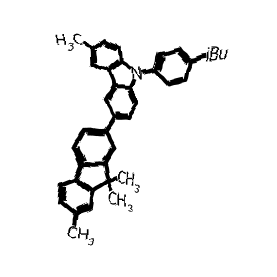 CCC(C)c1ccc(-n2c3ccc(C)cc3c3cc(-c4ccc5c(c4)C(C)(C)c4cc(C)ccc4-5)ccc32)cc1